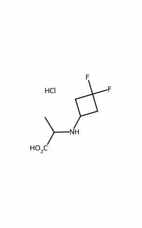 CC(NC1CC(F)(F)C1)C(=O)O.Cl